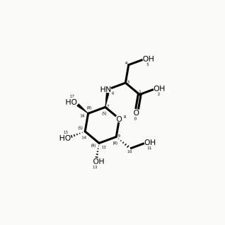 O=C(O)C(CO)N[C@H]1O[C@H](CO)[C@H](O)[C@H](O)[C@H]1O